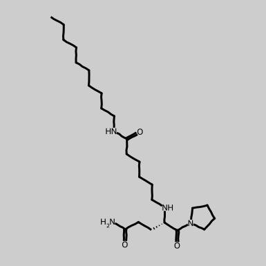 CCCCCCCCCCNC(=O)CCCCCN[C@@H](CCC(N)=O)C(=O)N1CCCC1